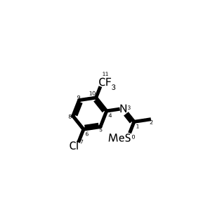 CS/C(C)=N\c1cc(Cl)ccc1C(F)(F)F